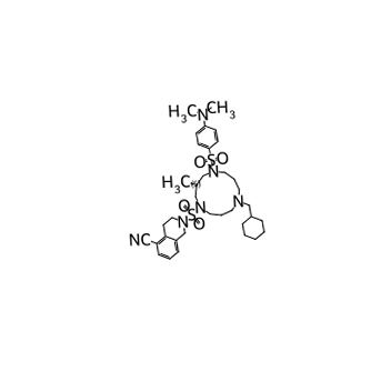 C[C@H]1CN(S(=O)(=O)c2ccc(N(C)C)cc2)CCCN(CC2CCCCC2)CCCN(S(=O)(=O)N2CCc3c(C#N)cccc3C2)C1